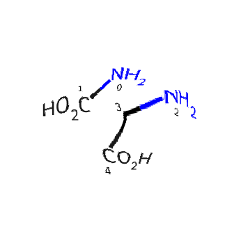 NC(=O)O.NCC(=O)O